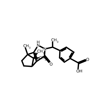 CC(c1ccc(C(=O)O)cc1)n1[nH]c2c(c1=O)C1CCC2(C)C1(C)C